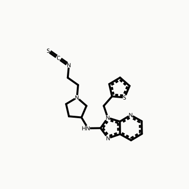 S=C=NCCN1CCC(Nc2nc3cccnc3n2Cc2cccs2)C1